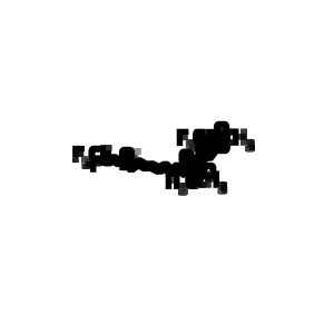 CC1(C)C(=O)N(c2ccc(NS(C)(=O)=O)c(C(F)(F)F)c2)C(=O)N1CCCCCCCCC[S+]([O-])CCCC(F)(F)C(F)(F)F